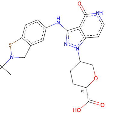 CC(C)(C)N1Cc2cc(Nc3nn(C4CC[C@@H](C(=O)O)OC4)c4cc[nH]c(=O)c34)ccc2S1